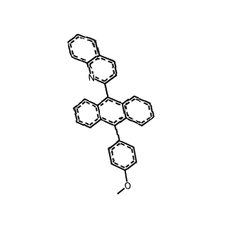 COc1ccc(-c2c3ccccc3c(-c3ccc4ccccc4n3)c3ccccc23)cc1